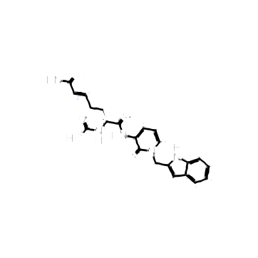 NC(=O)/C=C/CC[C@H](NC(=O)O)C(=O)Nc1cccn(Cc2cc3ccccc3[nH]2)c1=O